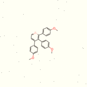 COc1ccc(-c2bccc(-c3ccc(OC)cc3)c2-c2ccc(OC)cc2)cc1